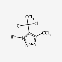 CC(C)n1nnc(C(Cl)(Cl)Cl)c1C(Cl)(Cl)C(Cl)(Cl)Cl